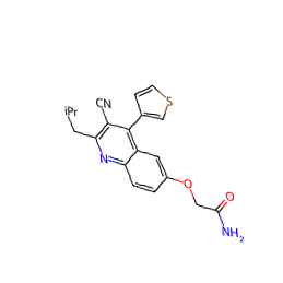 CC(C)Cc1nc2ccc(OCC(N)=O)cc2c(-c2ccsc2)c1C#N